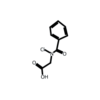 O=C(O)CN(Cl)C(=O)c1ccccc1